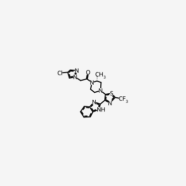 C[C@@H]1CN(c2sc(C(F)(F)F)nc2-c2nc3ccccc3[nH]2)CCN1C(=O)Cn1cc(Cl)cn1